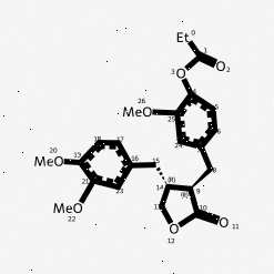 CCC(=O)Oc1ccc(C[C@H]2C(=O)OC[C@@H]2Cc2ccc(OC)c(OC)c2)cc1OC